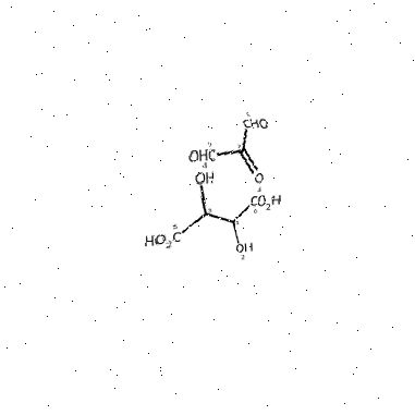 O=C(O)C(O)C(O)C(=O)O.O=CC(=O)C=O